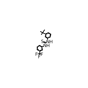 CC(C)(C)c1cccc(NC(=S)Nc2cccc(C(F)(F)F)c2)c1